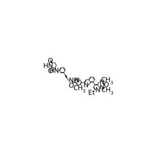 CCc1cc(-c2cccc3cc(-c4cnc(C(=O)NCC#Cc5cccc(NC6CCC(=O)NC6=O)c5)c(C)c4)ncc23)c2c(n1)N(C)C(=O)N(C)C2